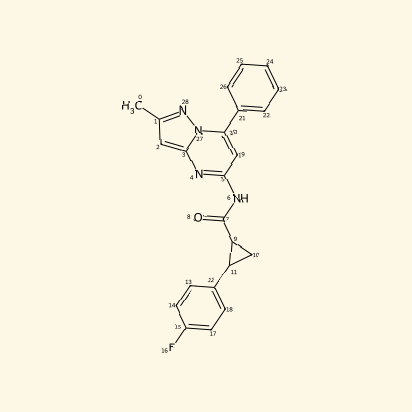 Cc1cc2nc(NC(=O)C3CC3c3ccc(F)cc3)cc(-c3ccccc3)n2n1